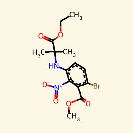 CCOC(=O)C(C)(C)Nc1ccc(Br)c(C(=O)OC)c1[N+](=O)[O-]